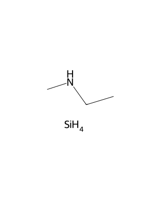 CCNC.[SiH4]